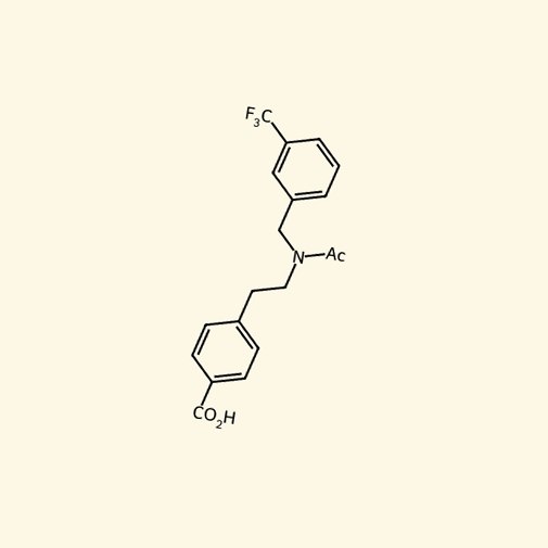 CC(=O)N(CCc1ccc(C(=O)O)cc1)Cc1cccc(C(F)(F)F)c1